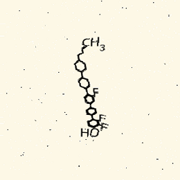 C/C=C/CCC1CCC(C2CCC(c3ccc(-c4ccc(-c5ccc(O)c(F)c5F)cc4)cc3F)CC2)CC1